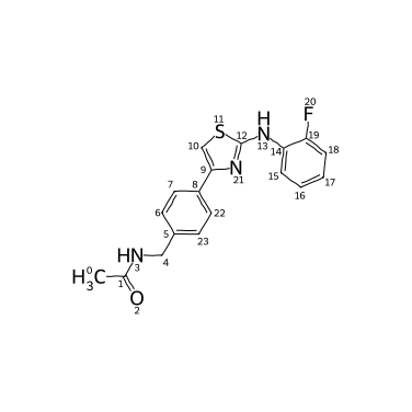 CC(=O)NCc1ccc(-c2csc(Nc3ccccc3F)n2)cc1